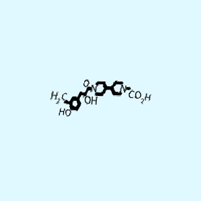 C=Cc1cc(C[C@@H](O)C(=O)N2CCC(C3CCN(CC(=O)O)CC3)CC2)ccc1O